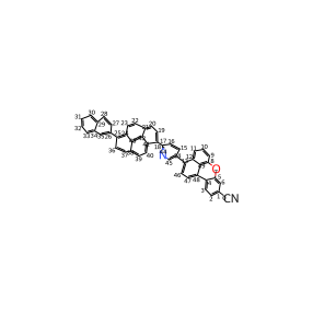 N#Cc1ccc2c(c1)Oc1cccc3c(-c4ccc(-c5ccc6ccc7c(-c8ccc9ccccc9c8)ccc8ccc5c6c87)nc4)ccc-2c13